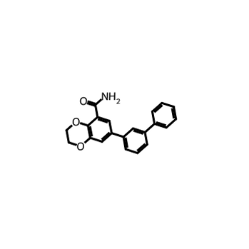 NC(=O)c1cc(-c2cccc(-c3ccccc3)c2)cc2c1OCCO2